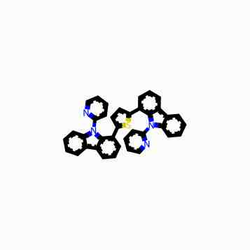 c1ccc(-n2c3ccccc3c3cccc(-c4ccc(-c5cccc6c7ccccc7n(-c7ccccn7)c56)s4)c32)nc1